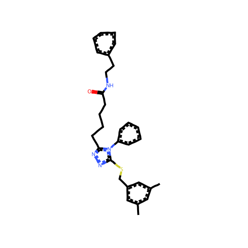 Cc1cc(C)cc(CSc2nnc(CCCCC(=O)NCCc3ccccc3)n2-c2ccccc2)c1